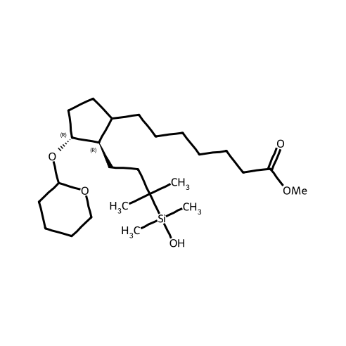 COC(=O)CCCCCCC1CC[C@@H](OC2CCCCO2)[C@@H]1CCC(C)(C)[Si](C)(C)O